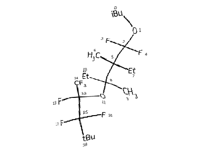 CCC(C)OC(F)(F)C(C)(CC)C(C)(CC)OC(F)(C(F)(F)F)C(F)(F)C(C)(C)C